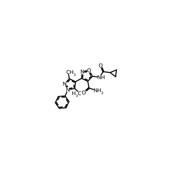 Cc1nn(-c2ccccc2)c(C)c1-c1noc(NC(=O)C2CC2)c1C(N)=O